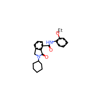 CCOc1ccccc1NC(=O)c1cccc2c1C(=O)N(C1CCCCC1)C2